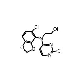 OCCN(c1ccnc(Cl)n1)c1c(Cl)ccc2c1OCO2